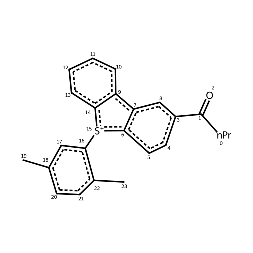 CCCC(=O)c1ccc2c(c1)c1ccccc1[s+]2-c1cc(C)ccc1C